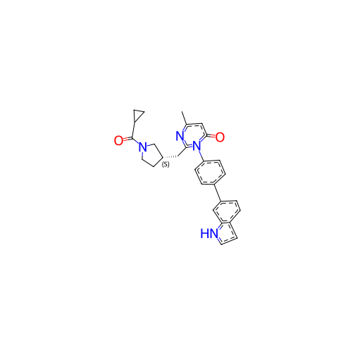 Cc1cc(=O)n(-c2ccc(-c3ccc4cc[nH]c4c3)cc2)c(C[C@@H]2CCN(C(=O)C3CC3)C2)n1